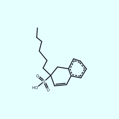 CCCCCCC1(S(=O)(=O)O)C=Cc2ccccc2C1